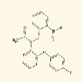 CC(=O)N(Cc1ccccc1[N+](=O)[O-])c1ccccc1Oc1ccc(Cl)cc1